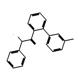 Cc1cccc(-c2ccccc2C(=O)C(O)c2ccccc2)c1